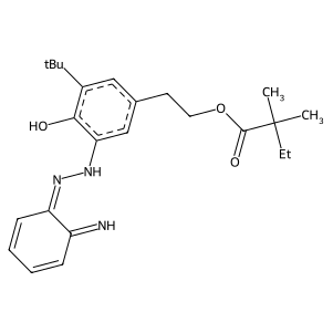 CCC(C)(C)C(=O)OCCc1cc(N/N=C2/C=CC=CC2=N)c(O)c(C(C)(C)C)c1